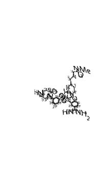 CNC(=O)CCCC1CCN(C(=O)[C@@H](Cc2cccc(C(=N)N)c2)NS(=O)(=O)c2cccc(N3CCNCC3=O)c2)CC1